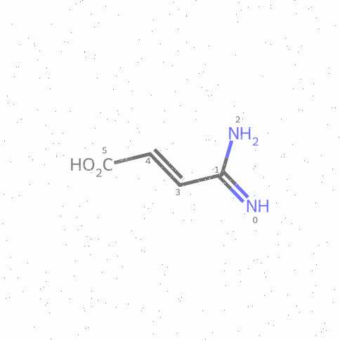 N=C(N)C=CC(=O)O